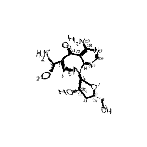 NC(=O)c1cn(C2O[C@H](CO)C[C@H]2O)c2ncnc(N)c2c1=O